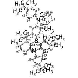 CC(C)(C)c1ccc(N2c3cc4c(cc3C3(C)CCCCC23C)B2c3c(cccc3C4(C)C)-n3c4ccc(C(C)(C)C)cc4c4cc(C(C)(C)C)cc2c43)cc1